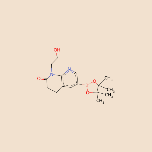 CC1(C)OB(c2cnc3c(c2)CCC(=O)N3CCO)OC1(C)C